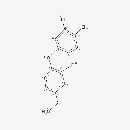 NCc1ccc(Oc2ccc(Cl)c(Cl)c2)c(F)c1